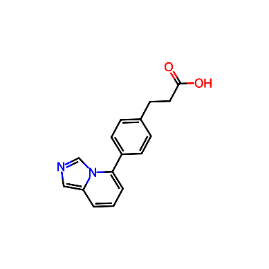 O=C(O)CCc1ccc(-c2cccc3cncn23)cc1